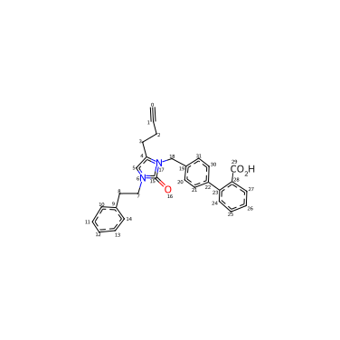 C#CCCc1cn(CCc2ccccc2)c(=O)n1Cc1ccc(-c2ccccc2C(=O)O)cc1